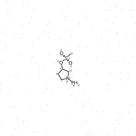 CS(=O)(=O)OC1CCN(P)C1